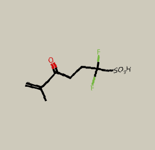 C=C(C)C(=O)CCC(F)(F)S(=O)(=O)O